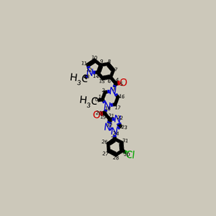 CC1CN(C(=O)c2ccc3ccn(C)c3c2)CCN1C(=O)c1ncn(-c2cccc(Cl)c2)n1